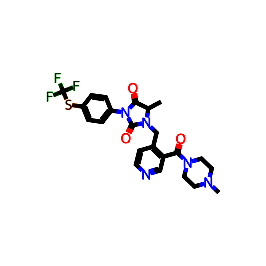 CC1C(=O)N(c2ccc(SC(F)(F)F)cc2)C(=O)N1Cc1ccncc1C(=O)N1CCN(C)CC1